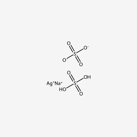 O=S(=O)(O)O.O=S(=O)([O-])[O-].[Ag+].[Na+]